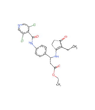 CCOC(=O)CC(NC1=C(CC)C(=O)CC1)c1ccc(NC(=O)c2c(Cl)cncc2Cl)cc1